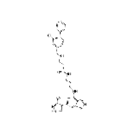 N#Cc1n[nH]cc1-c1cc(NCCCNC(=O)CCNCc2ccc(-c3ccccc3)c(Cl)c2)c2cn[nH]c2c1